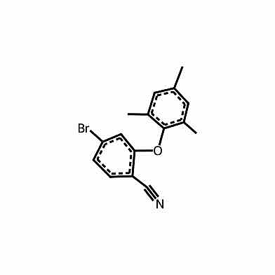 Cc1cc(C)c(Oc2cc(Br)ccc2C#N)c(C)c1